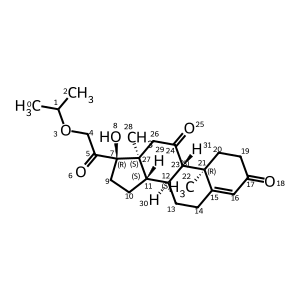 CC(C)OCC(=O)[C@@]1(O)CC[C@H]2[C@@H]3CCC4=CC(=O)CC[C@]4(C)[C@H]3C(=O)C[C@@]21C